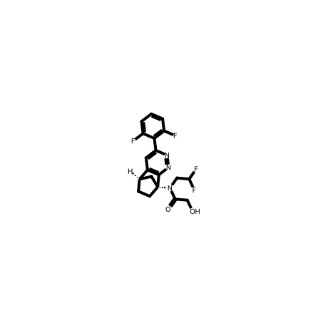 O=C(CO)N(CC(F)F)[C@]12CC[C@H](C1)c1cc(-c3c(F)cccc3F)nnc12